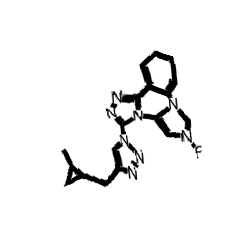 CC1CC1Cc1cn(-c2nnc3n2C2=CN(F)CN2c2ccccc2-3)nn1